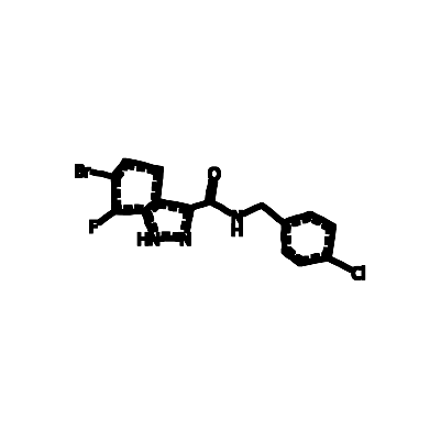 O=C(NCc1ccc(Cl)cc1)c1n[nH]c2c(F)c(Br)ccc12